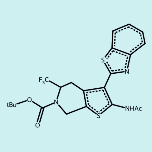 CC(=O)Nc1sc2c(c1-c1nc3ccccc3s1)CC(C(F)(F)F)N(C(=O)OC(C)(C)C)C2